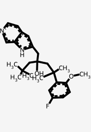 COc1ccc(F)cc1C(C)(C)CC(O)(Cc1cc2ccncc2[nH]1)CC(C)(C)C